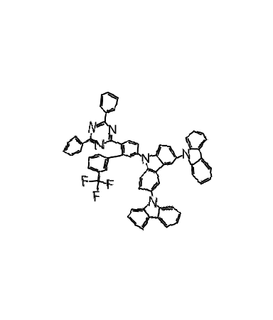 FC(F)(F)c1cccc(-c2cc(-n3c4ccc(-n5c6ccccc6c6ccccc65)cc4c4cc(-n5c6ccccc6c6ccccc65)ccc43)ccc2-c2nc(-c3ccccc3)nc(-c3ccccc3)n2)c1